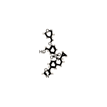 O=S(=O)(c1ccc(OCC2CCOCC2)c(CO)c1)N1c2ccc(-c3cnco3)cc2CCC1C1CC1